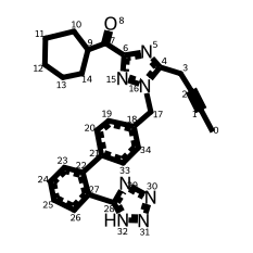 CC#CCc1nc(C(=O)C2CCCCC2)nn1Cc1ccc(-c2ccccc2-c2nnn[nH]2)cc1